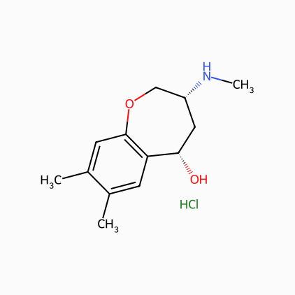 CN[C@H]1COc2cc(C)c(C)cc2[C@@H](O)C1.Cl